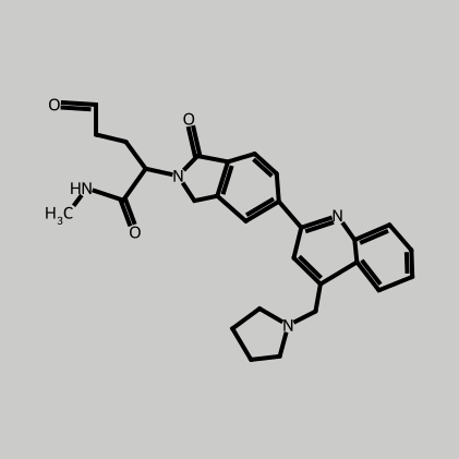 CNC(=O)C(CCC=O)N1Cc2cc(-c3cc(CN4CCCC4)c4ccccc4n3)ccc2C1=O